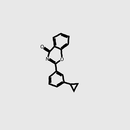 O=c1nc(-c2cccc(C3CC3)c2)oc2ccccc12